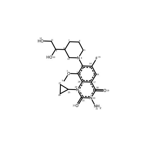 COc1c(N2CCCC(C(O)CO)C2)c(F)cc2c(=O)n(N)c(=O)n(C3CC3)c12